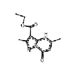 CCOC(=O)c1c(C)nn2c(=O)cc(C)[nH]c12